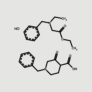 CCOC(=O)CN(CC)Cc1ccccc1.Cl.O=C(O)C1CCN(Cc2ccccc2)CC1=O